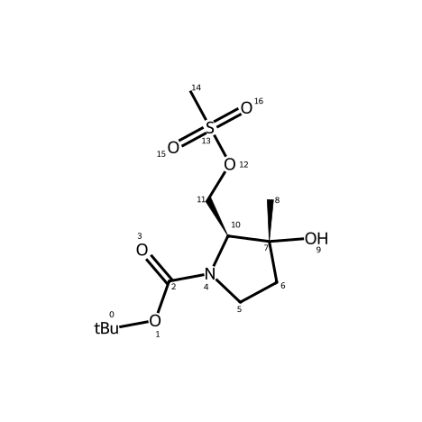 CC(C)(C)OC(=O)N1CC[C@@](C)(O)[C@@H]1COS(C)(=O)=O